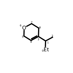 CCC(C)C1=CCOCC1